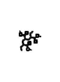 CCC(CC(CC(CC)C(=O)OC)C(=O)OC)C(=O)OC